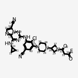 N#Cc1cc(Nc2nc(NC3CC3)c3ncc(C#N)n3n2)c(Cl)c(N2CCN(C3CN(C(=O)CC(=O)F)C3)CC2)c1